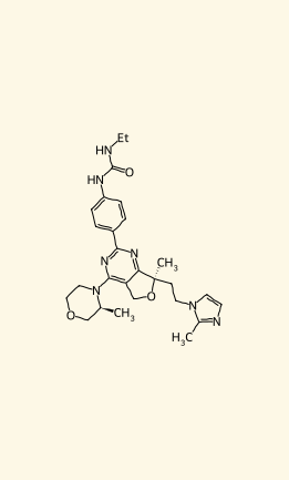 CCNC(=O)Nc1ccc(-c2nc(N3CCOC[C@@H]3C)c3c(n2)[C@@](C)(CCn2ccnc2C)OC3)cc1